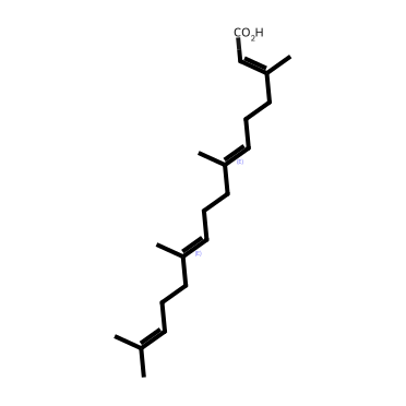 CC(C)=CCC/C(C)=C/CC/C(C)=C/CCC(C)=CC(=O)O